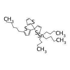 CCCCCCc1ccc(C2(c3cccs3)C=C[CH]([Sn]([CH2]CCC)([CH2]CCC)[CH2]CCC)S2)s1